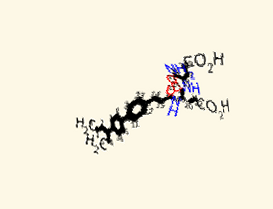 C=C/C=C(\C=C)c1ccc(-c2ccc(CCC(=O)N[C@@H](CCC(=O)O)C(=O)NC(CCC(=O)O)C(N)=O)cc2)cc1